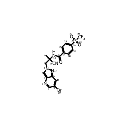 CC(C#N)(Cn1cc2ncc(Br)cc2n1)NC(=O)c1ccc(S(=O)(=O)C(F)(F)F)cc1